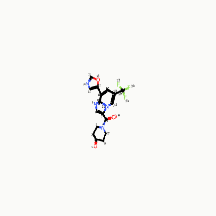 O=C1CCN(C(=O)c2cnc3c(-c4cnco4)cc(C(F)(F)F)cn23)CC1